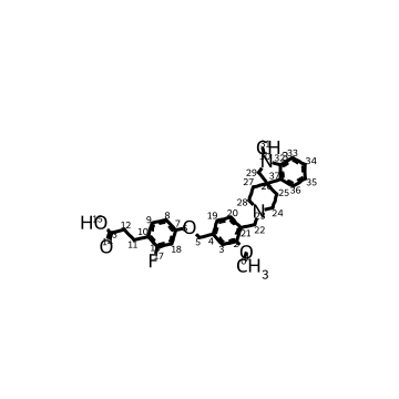 COc1cc(COc2ccc(CCC(=O)O)c(F)c2)ccc1CN1CCC2(CC1)CN(C)c1ccccc12